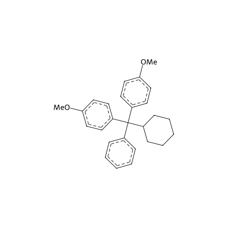 COc1ccc(C(c2ccccc2)(c2ccc(OC)cc2)C2CCCCC2)cc1